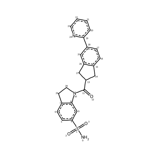 NS(=O)(=O)c1ccc2c(c1)N(C(=O)C1Cc3ccc(-c4ccccn4)cc3C1)CC2